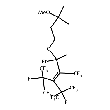 CCC(C)(OCCC(C)(C)OC)C(=C(C(F)(C(F)(F)F)C(F)(F)F)C(F)(C(F)(F)F)C(F)(F)F)C(F)(F)F